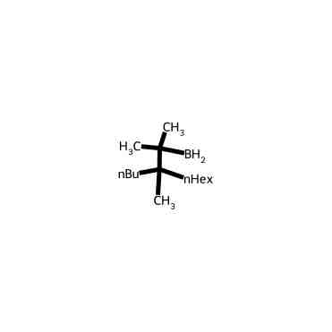 BC(C)(C)C(C)(CCCC)CCCCCC